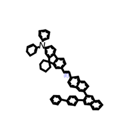 C1=CC(N(c2ccccc2)c2ccc3c(c2)C2(CCCCC2)c2cc(/C=C/c4ccc5cc(-c6cc7ccccc7cc6-c6ccc(-c7ccccc7)cc6)ccc5c4)ccc2-3)=CCC1